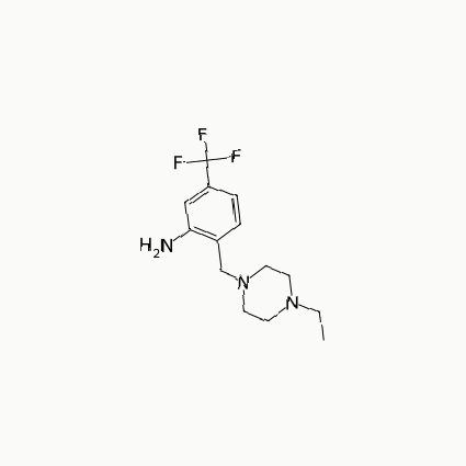 CCN1CCN(Cc2ccc(C(F)(F)F)cc2N)CC1